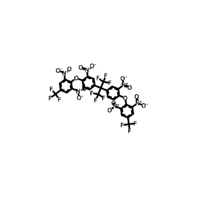 O=[N+]([O-])c1cc(C(c2ccc(Oc3c([N+](=O)[O-])cc(C(F)(F)F)cc3[N+](=O)[O-])c([N+](=O)[O-])c2)(C(F)(F)F)C(F)(F)F)ccc1Oc1c([N+](=O)[O-])cc(C(F)(F)F)cc1[N+](=O)[O-]